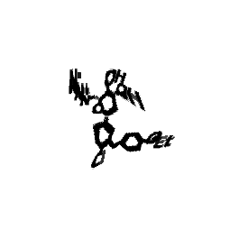 CCOc1ccc(Cc2cc([C@H]3C[C@@H](O)[C@H](O)[C@@H](CN=[N+]=[N-])O3)ccc2Cl)cc1